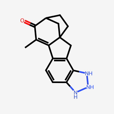 CC1=C2c3ccc4c(c3CC23CCC(C3)C1=O)NNN4